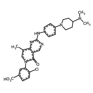 Cc1cn(-c2cc(C(=O)O)ccc2Cl)c(=O)c2cnc(Nc3ccc(N4CCC(N(C)C)CC4)cc3)nc12